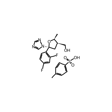 C[C@@H]1O[C@@](c2ccc(F)cc2F)(n2cncn2)C[C@@H]1CO.Cc1ccc(S(=O)(=O)O)cc1